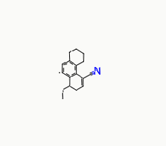 CCC1CC=C(C#N)c2c1[c]cc1c2CCCC1